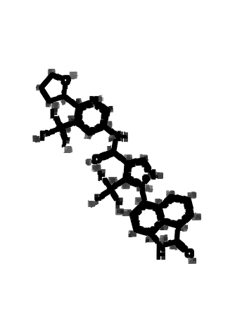 O=C(Nc1cnc(C2CCCO2)c(C(F)(F)F)c1)c1cnn(-c2ccc3c4c(cccc24)C(=O)N3)c1C(F)(F)F